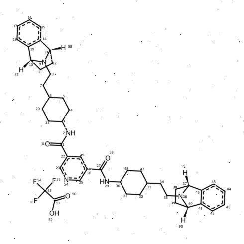 O=C(NC1CCC(CCN2[C@@H]3CC[C@H]2c2ccccc23)CC1)c1cncc(C(=O)NC2CCC(CCN3[C@@H]4CC[C@H]3c3ccccc34)CC2)c1.O=C(O)C(F)(F)F